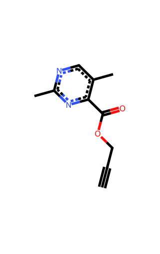 C#CCOC(=O)c1nc(C)ncc1C